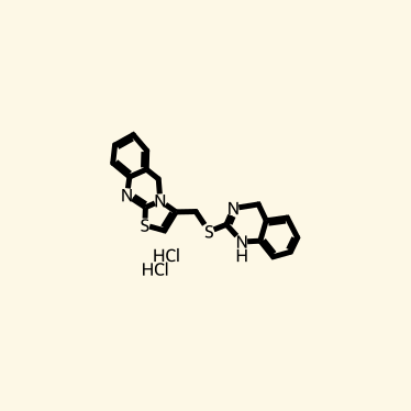 C1=C(CSC2=NCc3ccccc3N2)N2Cc3ccccc3N=C2S1.Cl.Cl